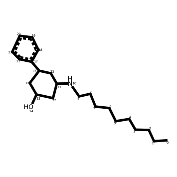 CCCCCCCCCCNC1CC(O)CC(c2ccccc2)C1